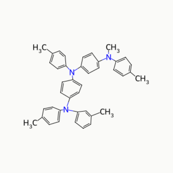 Cc1ccc(N(C)c2ccc(N(c3ccc(C)cc3)c3ccc(N(c4ccc(C)cc4)c4cccc(C)c4)cc3)cc2)cc1